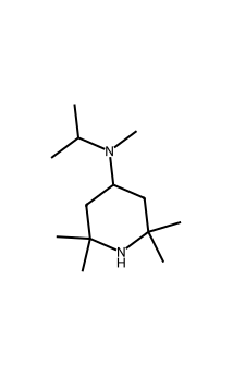 CC(C)N(C)C1CC(C)(C)NC(C)(C)C1